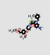 [C-]#[N+]c1ccc2c(C(O)(CN3CCC(Oc4ccc(CC(=O)OCC)cc4OC)CC3)C(F)(F)F)cn(Cc3cccc(C)c3)c2c1